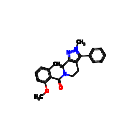 COc1cccc(C)c1C(=O)N1CCc2c(nn(C)c2-c2ccccc2)C1